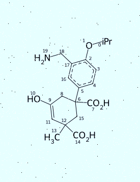 CC(C)Oc1ccc(C2(C(=O)O)CC(O)=CC(C)(C(=O)O)C2)cc1CN